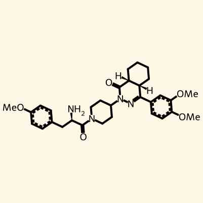 COc1ccc(C[C@@H](N)C(=O)N2CCC(N3N=C(c4ccc(OC)c(OC)c4)[C@H]4CCCC[C@H]4C3=O)CC2)cc1